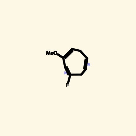 COC1=CC/C=C\C/C(F)=C\1